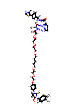 Cc1ncsc1-c1ccc(CNC(=O)[C@@H]2CCCN2C(=O)C(NC(=O)COCCOCCOCCCCCOCCOCCOc2ccc(N3C(=S)N(c4ccc(C#N)c(C(F)(F)F)c4)C(=O)C3(C)C)cc2)C(C)(C)C)cc1